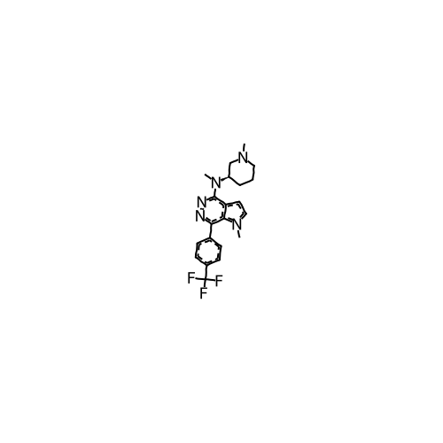 CN1CCC[C@@H](N(C)c2nnc(-c3ccc(C(F)(F)F)cc3)c3c2ccn3C)C1